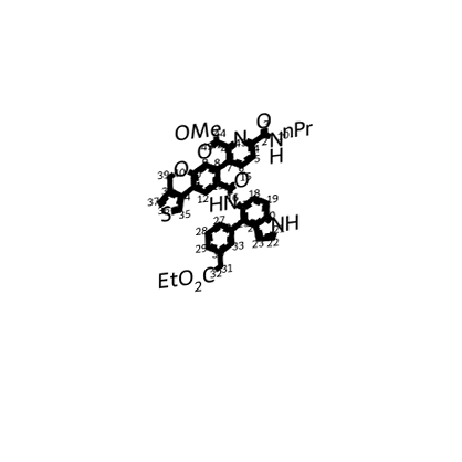 CCCNC(=O)c1ccc(-c2cc3c(cc2C(=O)Nc2ccc4[nH]ccc4c2-c2cccc(CC(=O)OCC)c2)-c2cscc2CO3)c(C(=O)OC)n1